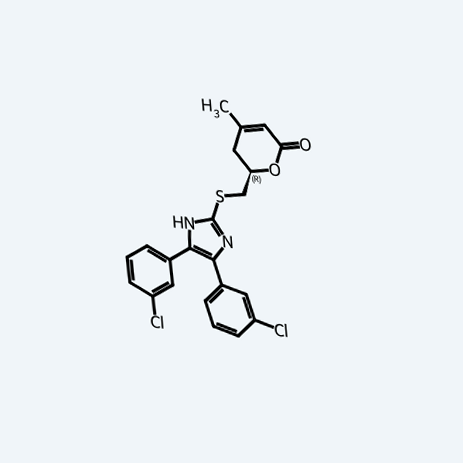 CC1=CC(=O)O[C@@H](CSc2nc(-c3cccc(Cl)c3)c(-c3cccc(Cl)c3)[nH]2)C1